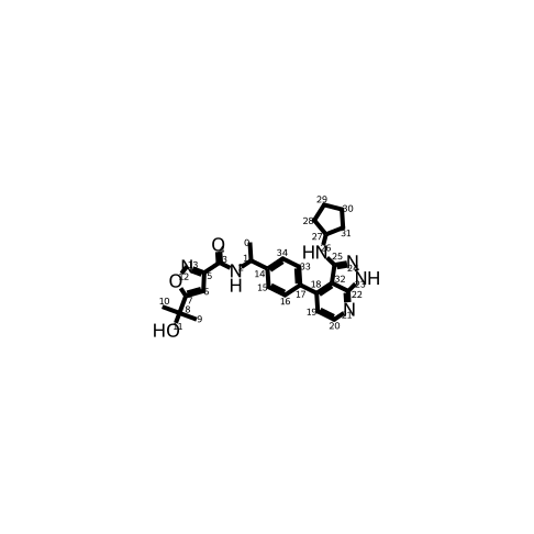 CC(NC(=O)c1cc(C(C)(C)O)on1)c1ccc(-c2ccnc3[nH]nc(NC4CCCC4)c23)cc1